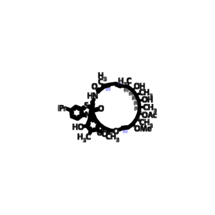 CO[C@H]1/C=C/O[C@@]2(C)Oc3c(C)c(O)c4c(=O)c(c5sc6cc(C(C)C)ccc6nc-5c4c3C2=O)NC(=O)/C(C)=C\C=C\[C@H](C)[C@H](O)[C@@H](C)[C@@H](O)[C@@H](C)[C@H](OC(C)=O)[C@@H]1C